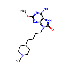 CCCCOc1nc(N)c2[nH]c(=O)n(CCCCC3CCN(CCC)CC3)c2n1